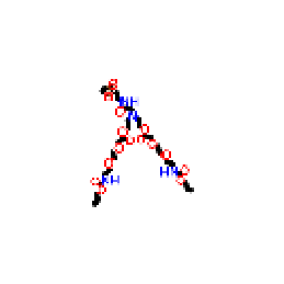 C=CS(=O)(=O)CCNC(=O)CN(CCOC(=O)COCCOCCNC(=O)OCCC)CCOC(=O)COCCOCCNC(=O)OCCC